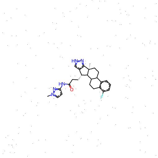 Cn1ccc(NC(=O)CC[C@@H]2c3c[nH]nc3[C@@]3(C)CCC4c5cccc(F)c5CCC4C23)n1